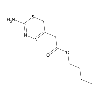 CCCCOC(=O)CC1=NN=C(N)SC1